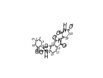 Cc1ccc(S(=O)(=O)Nc2ccc3c(c2)C(=O)N(C2CCC(=O)NC2=O)C3=O)c(Br)c1